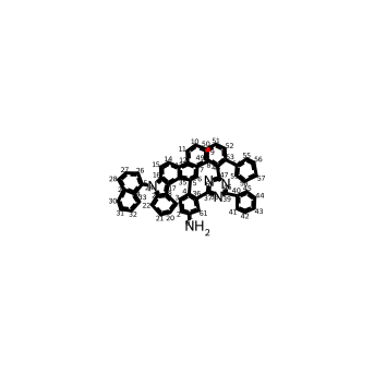 Nc1ccc(-c2cc3ccccc3c3ccc4c(c5ccccc5n4-c4cccc5ccccc45)c23)c(-c2nc(-c3ccccc3)nc(-c3ccccc3-c3ccccc3)n2)c1